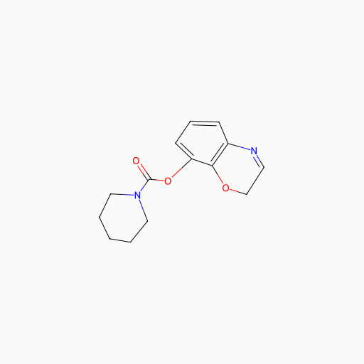 O=C(Oc1cccc2c1OCC=N2)N1CCCCC1